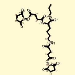 CCCNC(=O)C(CCCCNC(=O)CCC(=O)ON1C(=O)CCC1=O)NC(=O)CCC(=O)ON1C(=O)CCC1=O